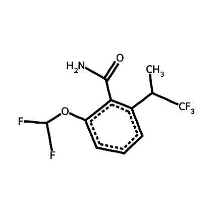 CC(c1cccc(OC(F)F)c1C(N)=O)C(F)(F)F